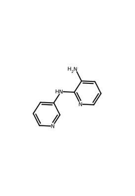 Nc1cccnc1Nc1cccnc1